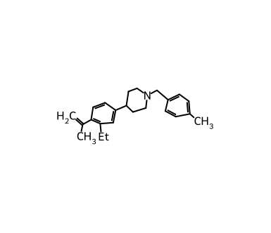 C=C(C)c1ccc(C2CCN(Cc3ccc(C)cc3)CC2)cc1CC